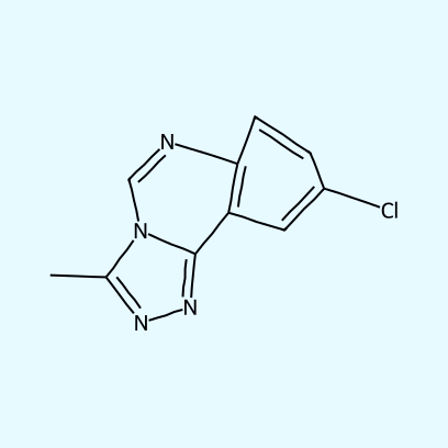 Cc1nnc2c3cc(Cl)ccc3ncn12